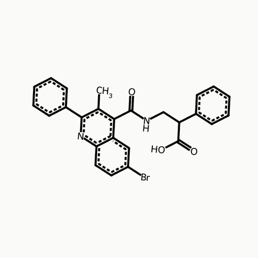 Cc1c(-c2ccccc2)nc2ccc(Br)cc2c1C(=O)NCC(C(=O)O)c1ccccc1